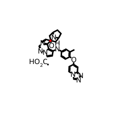 C=CC(=O)N1C2CCC1CC(c1ncnn3ccc(Nc4ccc(Oc5ccn6cnnc6c5)c(C)c4)c13)C2.CC(=O)O